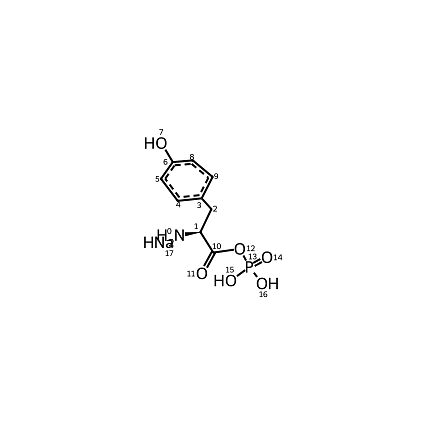 N[C@@H](Cc1ccc(O)cc1)C(=O)OP(=O)(O)O.[NaH]